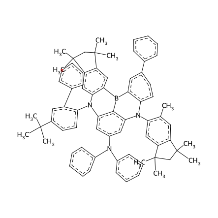 Cc1cc2c(cc1N1c3ccc(-c4ccccc4)cc3B3c4cc5c(cc4N(c4ccc(C(C)(C)C)cc4-c4ccccc4)c4cc(N(c6ccccc6)c6ccccc6)cc1c43)C(C)(C)CC5(C)C)C(C)(C)CC2(C)C